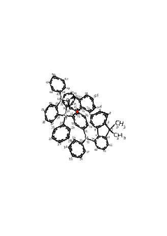 CC1(C)c2ccccc2-c2c(N(c3ccccc3)c3cccc([Si](c4ccccc4)(c4ccccc4)c4ccccc4N(c4ccccc4)c4ccc5ccccc5c4)c3)cccc21